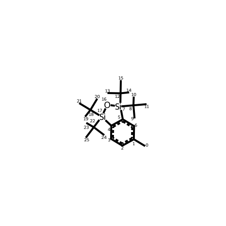 Cc1ccc2c(c1)[Si](C(C)(C)C)(C(C)(C)C)O[Si]2(C(C)(C)C)C(C)(C)C